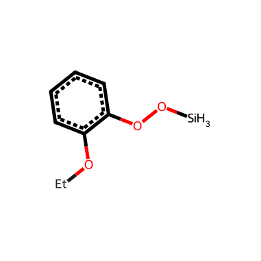 CCOc1ccccc1OO[SiH3]